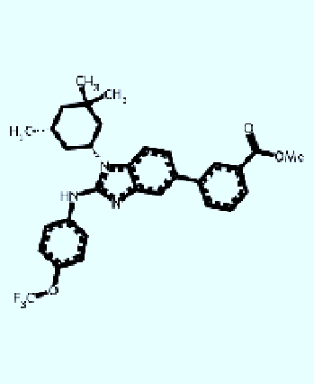 COC(=O)c1cccc(-c2ccc3c(c2)nc(Nc2ccc(OC(F)(F)F)cc2)n3[C@@H]2C[C@H](C)CC(C)(C)C2)c1